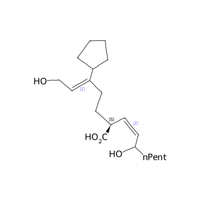 CCCCCC(O)/C=C\[C@H](CC/C(=C/CO)C1CCCC1)C(=O)O